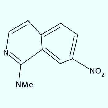 CNc1nccc2ccc([N+](=O)[O-])cc12